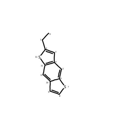 CCc1cc2cc3sccc3cc2s1